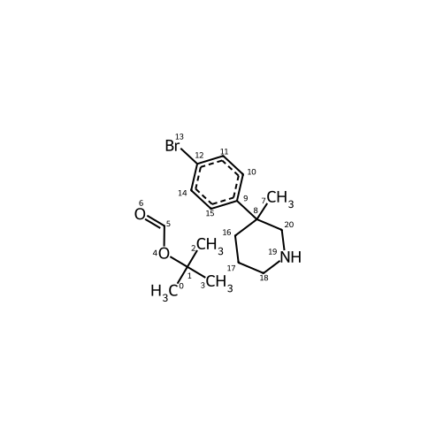 CC(C)(C)OC=O.CC1(c2ccc(Br)cc2)CCCNC1